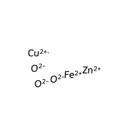 [Cu+2].[Fe+2].[O-2].[O-2].[O-2].[Zn+2]